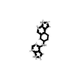 c1nc(NC2CCc3c(cnc4[nH]ncc34)C2)c2cn[nH]c2n1